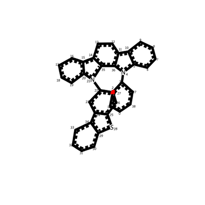 c1ccc(-n2c3ccccc3c3ccc4c5ccccc5n(-c5cc6c(cn5)sc5ccccc56)c4c32)cc1